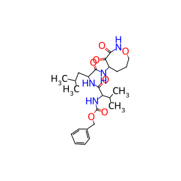 CC(C)CC(NC(=O)C(NC(=O)OCc1ccccc1)C(C)C)C(=O)NC1CCCONC(=O)C1=O